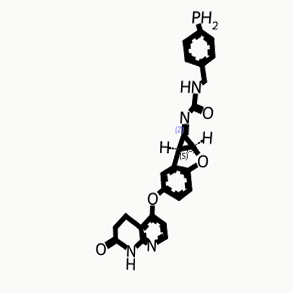 O=C1CCc2c(Oc3ccc4c(c3)[C@H]3/C(=N/C(=O)NCc5ccc(P)cc5)[C@H]3O4)ccnc2N1